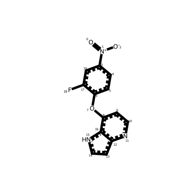 O=[N+]([O-])c1ccc(Oc2ccnc3cc[nH]c23)c(F)c1